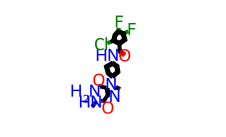 CNC(=O)c1ncn(-c2ccc(NC(=O)c3cc(F)c(F)cc3Cl)cc2)c1C(N)=O